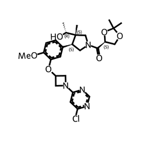 COc1ccc([C@@H]2CN(C(=O)[C@@H]3COC(C)(C)O3)C[C@@]2(C)[C@@H](C)O)cc1OC1CN(c2cc(Cl)ncn2)C1